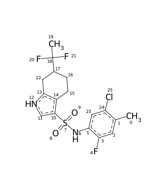 Cc1cc(F)c(NS(=O)(=O)c2c[nH]c3c2CCC(C(C)(F)F)C3)cc1Cl